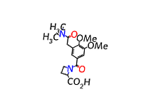 COc1cc(C(=O)N2CCC2C(=O)O)cc(CC(=O)N(C)C)c1OC